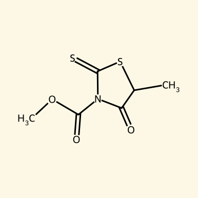 COC(=O)N1C(=O)C(C)SC1=S